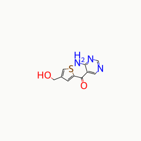 Nc1ncncc1C(=O)c1cc(CO)cs1